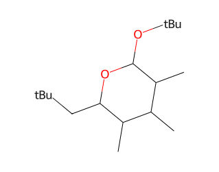 CC1C(CC(C)(C)C)OC(OC(C)(C)C)C(C)C1C